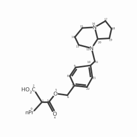 CCCC(C(=O)O)C(=O)OCc1ccc(CN2CCCN3CCCC32)cc1